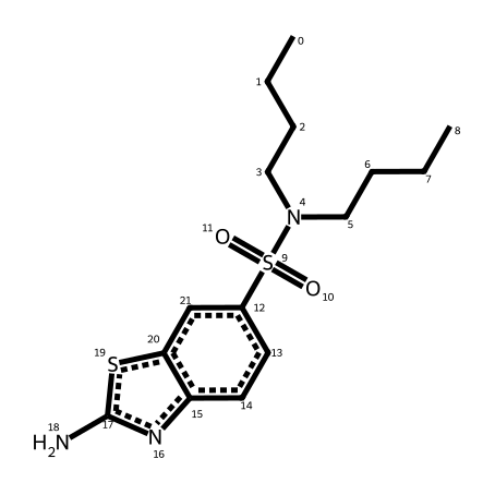 CCCCN(CCCC)S(=O)(=O)c1ccc2nc(N)sc2c1